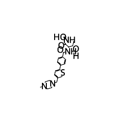 C[C@@H](O)[C@H](NC(=O)c1ccc(C2=CC=C(CN3CCN(C)CC3)CS2)cc1)C(=O)NO